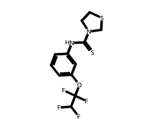 FC(F)C(F)(F)Oc1cccc(NC(=S)N2CCSC2)c1